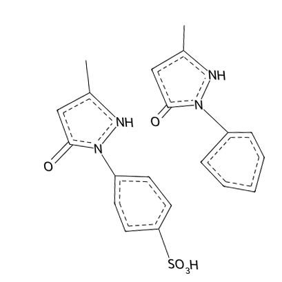 Cc1cc(=O)n(-c2ccc(S(=O)(=O)O)cc2)[nH]1.Cc1cc(=O)n(-c2ccccc2)[nH]1